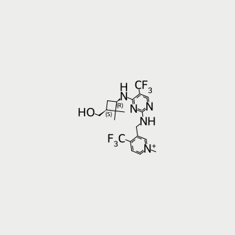 C[n+]1ccc(C(F)(F)F)c(CNc2ncc(C(F)(F)F)c(N[C@@H]3C[C@H](CO)C3(C)C)n2)c1